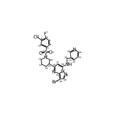 O=S(=O)(c1ccc(F)c(Cl)c1)N1CCCC(c2cc(NCc3cccnc3)n3ncc(Br)c3n2)C1